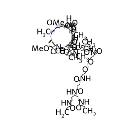 C=CC(=O)NCCC(CCNC(=O)C=C)NC(=O)CCC(=O)NCCOCCOCCN1C(=O)CC(SC(C)(C)CCC(=O)N(C)[C@@H](C)C(=O)O[C@H]2CC(=O)N(C)c3cc(cc(OC)c3Cl)C/C(C)=C/C=C/[C@@H](OC)[C@@]3(O)C[C@H](OC(=O)N3)[C@@H](C)[C@@H]3O[C@@]23C)C1=O